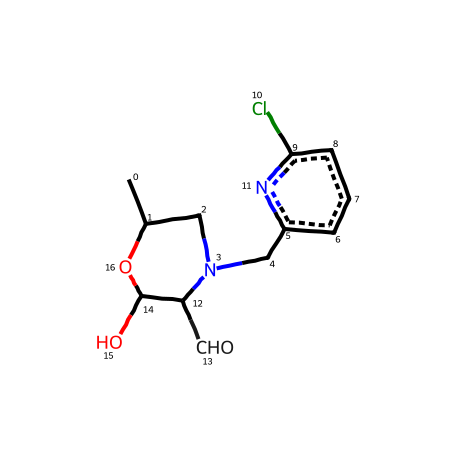 CC1CN(Cc2cccc(Cl)n2)C(C=O)C(O)O1